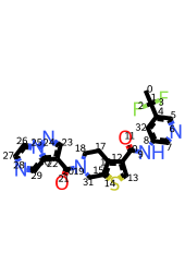 CC(F)(F)c1cncc(NC(=O)c2csc3c2CCN(C(=O)c2cnn4ccncc24)C3)c1